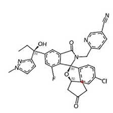 CC[C@](O)(c1cc(F)c2c(c1)C(=O)N(Cc1ccc(C#N)cn1)[C@]2(O[C@H]1CCC(=O)C1)c1ccc(Cl)cc1)c1ccn(C)n1